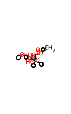 Cc1ccc(S(=O)(=O)OC[C@H]2OC(O)[C@H](Oc3ccc(OC4CCCCC4)cc3)[C@](O)(Cc3ccccc3)[C@@H]2OCc2ccccc2)cc1